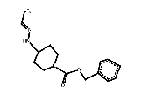 O=C(OCc1ccccc1)N1CCC(N/N=C/C(F)(F)F)CC1